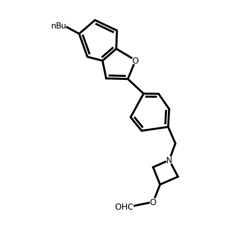 CCCCc1ccc2oc(-c3ccc(CN4CC(OC=O)C4)cc3)cc2c1